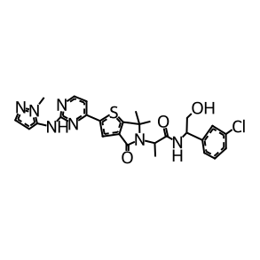 CC(C(=O)NC(CO)c1cccc(Cl)c1)N1C(=O)c2cc(-c3ccnc(Nc4ccnn4C)n3)sc2C1(C)C